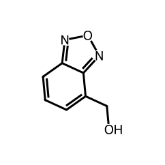 OCc1cccc2nonc12